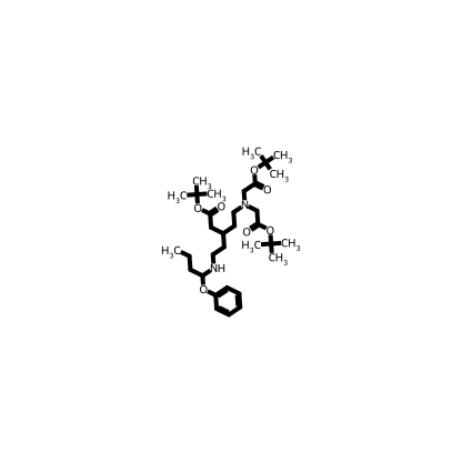 CCCC(NCCC(CCN(CC(=O)OC(C)(C)C)CC(=O)OC(C)(C)C)CC(=O)OC(C)(C)C)Oc1ccccc1